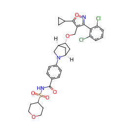 O=C(NS(=O)(=O)C1CCOCC1)c1ccc(N2C[C@@H]3C[C@H]2C[C@H]3OCc2c(-c3c(Cl)cccc3Cl)noc2C2CC2)cc1